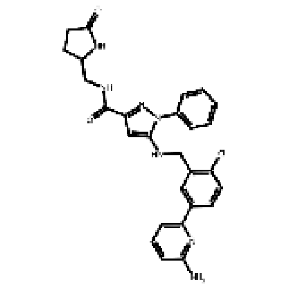 Nc1cccc(-c2ccc(Cl)c(CNc3cc(C(=O)NCC4CCC(=O)N4)nn3-c3ccccc3)c2)n1